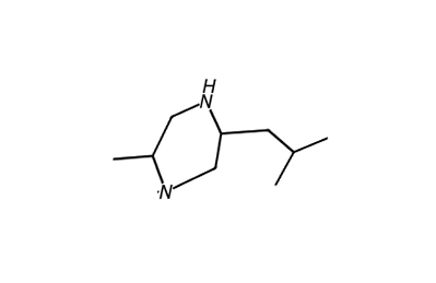 CC(C)CC1C[N]C(C)CN1